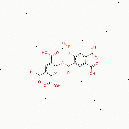 O=POc1cc(C(=O)O)c(C(=O)O)cc1C(=O)Oc1cc(C(=O)O)c(C(=O)O)cc1C(=O)O